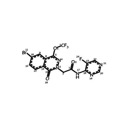 O=C(Cn1nc(OC(F)(F)F)c2cc(Br)ccc2c1=O)Nc1ncncc1F